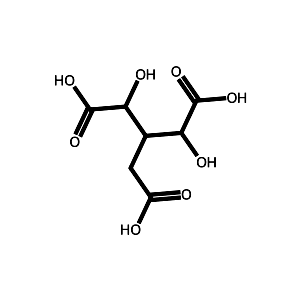 O=C(O)CC(C(O)C(=O)O)C(O)C(=O)O